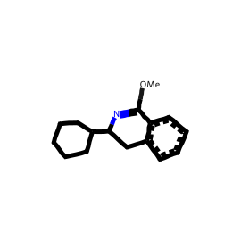 COC1=NC(C2CCCCC2)Cc2ccccc21